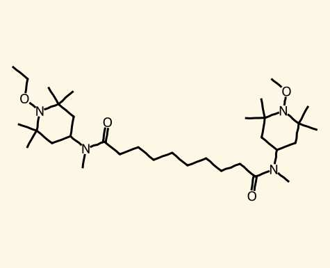 CCON1C(C)(C)CC(N(C)C(=O)CCCCCCCCC(=O)N(C)C2CC(C)(C)N(OC)C(C)(C)C2)CC1(C)C